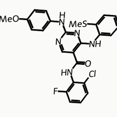 COc1ccc(Nc2ncc(C(=O)Nc3c(F)cccc3Cl)c(Nc3ccccc3SC)n2)cc1